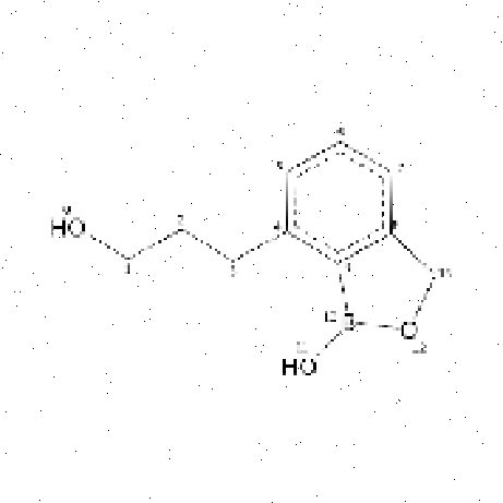 OCCCc1cccc2c1B(O)OC2